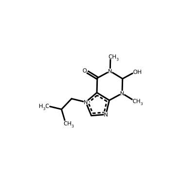 CC(C)Cn1cnc2c1C(=O)N(C)C(O)N2C